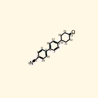 N#Cc1ccc(-c2ccc(C3CCC(=O)CC3)cc2)cc1